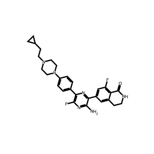 Nc1nc(F)c(-c2ccc(N3CCN(CCC4CC4)CC3)cc2)nc1-c1cc(F)c2c(c1)CCNC2=O